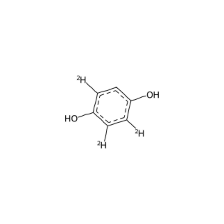 [2H]c1cc(O)c([2H])c([2H])c1O